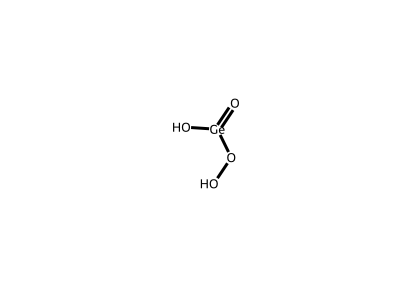 [O]=[Ge]([OH])[O]O